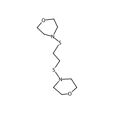 C1CN(SCCSN2CCOCC2)CCO1